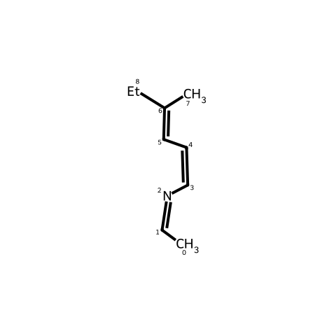 C\C=N/C=C\C=C(/C)CC